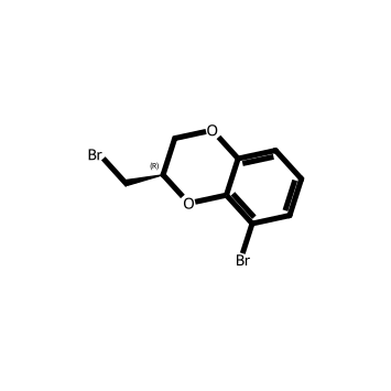 BrC[C@H]1COc2cccc(Br)c2O1